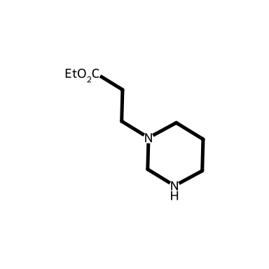 CCOC(=O)CCN1CCCNC1